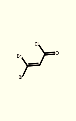 O=C(Cl)[C]=C(Br)Br